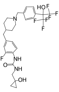 O=C(NCC1(O)CC1)Nc1ccc(CC2CCN(Cc3ccc(C(O)(C(F)(F)F)C(F)(F)F)cc3)CC2)cc1F